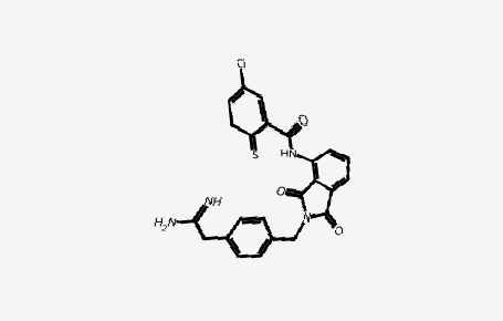 N=C(N)Cc1ccc(CN2C(=O)c3cccc(NC(=O)C4=CC(Cl)=CCC4=S)c3C2=O)cc1